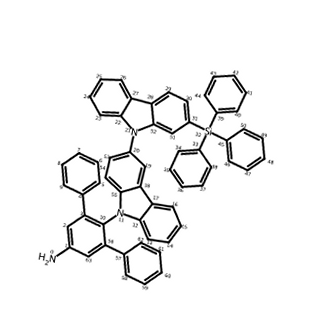 Nc1cc(-c2ccccc2)c(-n2c3ccccc3c3cc(-n4c5ccccc5c5ccc([Si](c6ccccc6)(c6ccccc6)c6ccccc6)cc54)ccc32)c(-c2ccccc2)c1